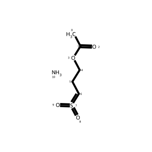 CC(=O)OCCC=S(=O)=O.N